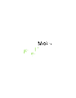 [F-].[F-].[F-].[Mo+3]